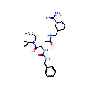 N=C(N)N1CCC[C@@H](CNC(=O)C[C@H](NC(=O)NCc2ccccc2)C(=O)N(CC(=O)O)C2CC2)C1